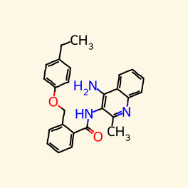 CCc1ccc(OCc2ccccc2C(=O)Nc2c(C)nc3ccccc3c2N)cc1